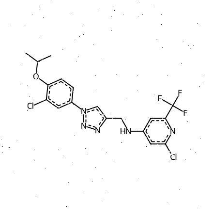 CC(C)Oc1ccc(-n2cc(CNc3cc(Cl)nc(C(F)(F)F)c3)nn2)cc1Cl